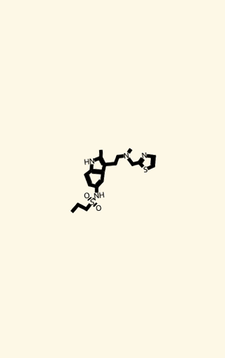 CCCS(=O)(=O)Nc1ccc2[nH]c(C)c(CCN(C)Cc3nccs3)c2c1